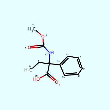 CCC(NC(=O)OC)(C(=O)O)c1ccccc1